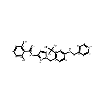 O=C(Nc1ccn(Cc2ccc(OCc3ccncc3)cc2C(F)(F)F)n1)c1c(F)cccc1F